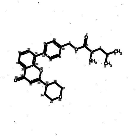 CC(C)CC(N)C(=O)OCc1ccc(-c2cccc3c(=O)cc(N4CCOCC4)oc23)cc1